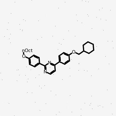 CCCCCCCCOc1ccc(-c2nccc(-c3ccc(OCC4CCCCC4)cc3)n2)cc1